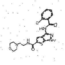 O=C(NCCN1CCOCC1)c1cc2c(NC(=O)c3ccccc3Cl)n[nH]c2s1